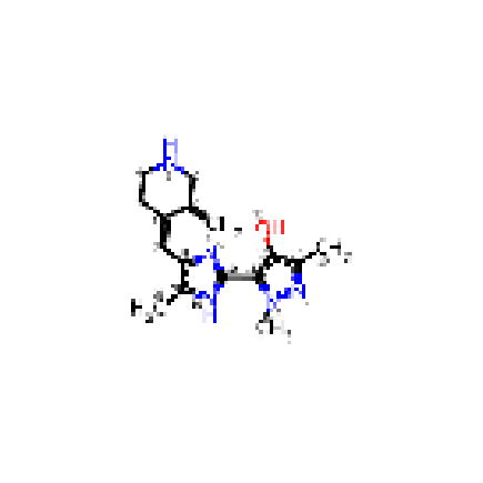 C=C1CNCC/C1=C/c1nc(-c2c(O)c(C)nn2C)[nH]c1C